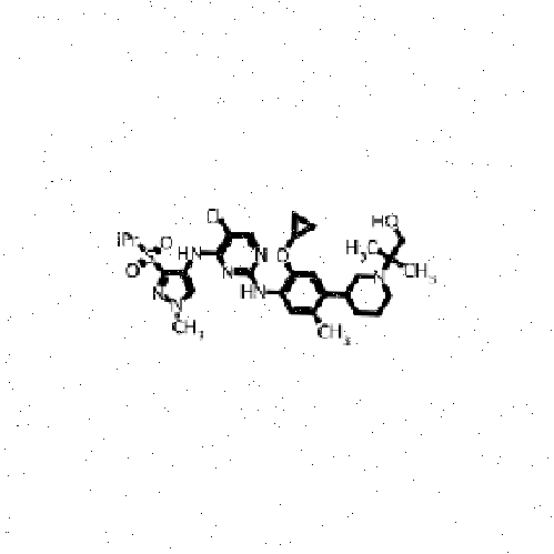 Cc1cc(Nc2ncc(Cl)c(Nc3cn(C)nc3S(=O)(=O)C(C)C)n2)c(OC2CC2)cc1C1CCCN(C(C)(C)CO)C1